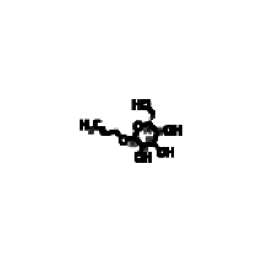 C=CCO[C@H]1O[C@H](CO)[C@H](O)[C@H](O)[C@H]1O